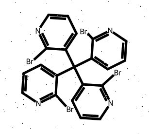 Brc1ncccc1C(c1cccnc1Br)(c1cccnc1Br)c1cccnc1Br